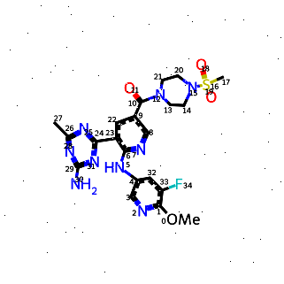 COc1ncc(Nc2ncc(C(=O)N3CCN(S(C)(=O)=O)CC3)cc2-c2nc(C)nc(N)n2)cc1F